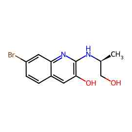 C[C@@H](CO)Nc1nc2cc(Br)ccc2cc1O